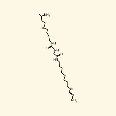 CC(N)CCNCCCCNC(=O)NCC(=O)NCCCCCCCCNC=NN